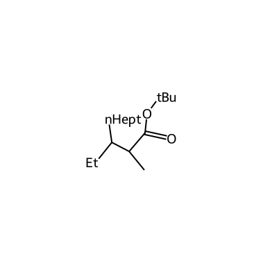 CCCCCCCC(CC)C(C)C(=O)OC(C)(C)C